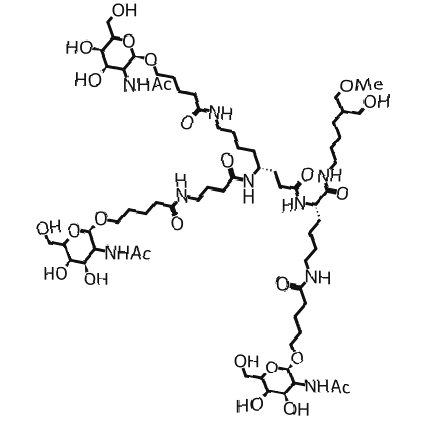 COCC(CO)CCCCNC(=O)[C@H](CCCCNC(=O)CCCCO[C@@H]1OC(CO)[C@H](O)[C@H](O)C1NC(C)=O)NC(=O)CC[C@@H](CCCCNC(=O)CCCCO[C@@H]1OC(CO)[C@H](O)[C@H](O)C1NC(C)=O)NC(=O)CCCNC(=O)CCCCO[C@@H]1OC(CO)[C@H](O)[C@H](O)C1NC(C)=O